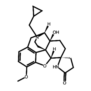 COc1ccc2c3c1O[C@H]1[C@@]4(CCC(=O)N4)CC[C@@]4(O)[C@@H](C2)N(CC2CC2)CC[C@]314